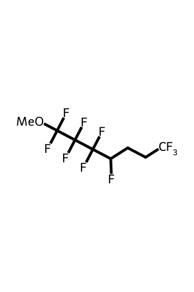 COC(F)(F)C(F)(F)C(F)(F)C(F)CCC(F)(F)F